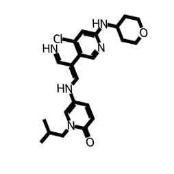 CC(C)Cn1cc(N/C=C(\C=N)c2cnc(NC3CCOCC3)cc2Cl)ccc1=O